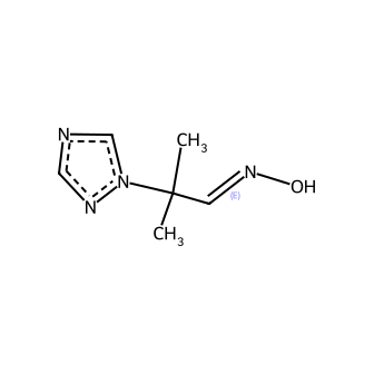 CC(C)(/C=N/O)n1cncn1